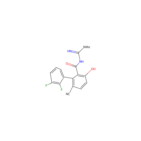 CNC(=N)NC(=O)c1c(O)ccc(C#N)c1-c1cccc(F)c1F